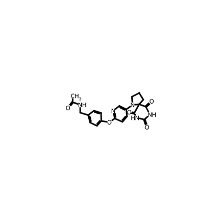 CC(=O)NCc1ccc(Oc2ccc(N3CCCC34C(=O)NC(=O)NC4=O)cn2)cc1